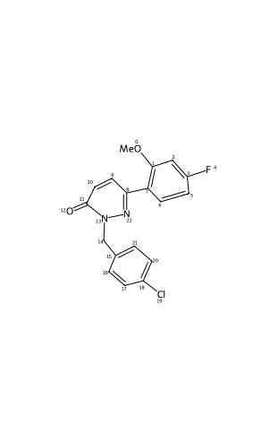 COc1cc(F)ccc1-c1ccc(=O)n(Cc2ccc(Cl)cc2)n1